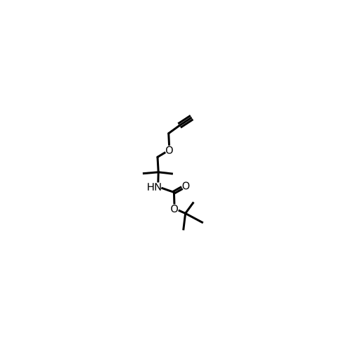 C#CCOCC(C)(C)NC(=O)OC(C)(C)C